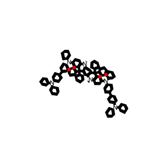 CN1c2ccc(N(c3ccccc3)c3ccc(-c4ccc(N(c5ccccc5)c5ccccc5)cc4)cc3)cc2C(c2ccccc2)(c2ccccc2)c2cc3c(cc21)C(c1ccccc1)(c1ccccc1)c1cc(N(c2ccccc2)c2ccc(-c4ccc(N(c5ccccc5)c5ccccc5)cc4)cc2)ccc1N3C